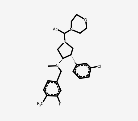 CC(=O)C(N1CCOCC1)N1C[C@H](c2cccc(Cl)c2)[C@H](N(C)Cc2ccc(C(F)(F)F)c(F)c2)C1